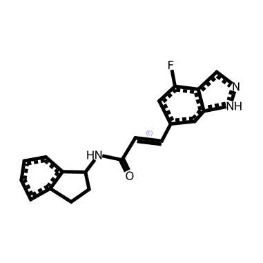 O=C(/C=C/c1cc(F)c2cn[nH]c2c1)NC1CCc2ccccc21